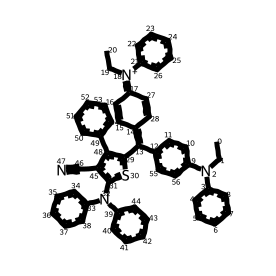 CCN(c1ccccc1)c1ccc(C(=C2C=CC(=[N+](CC)c3ccccc3)C=C2)c2sc(N(c3ccccc3)c3ccccc3)c(C#N)c2-c2ccccc2)cc1